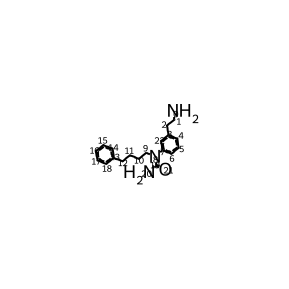 NCCc1cccc(N(CCCCc2ccccc2)C(N)=O)c1